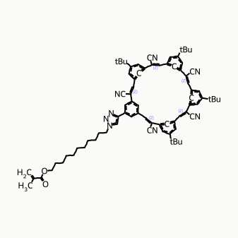 C=C(C)C(=O)OCCCCCCCCCCCn1cc(-c2cc3cc(c2)/C(C#N)=C/c2cc(cc(C(C)(C)C)c2)/C(C#N)=C/c2cc(cc(C(C)(C)C)c2)/C(C#N)=C/c2cc(cc(C(C)(C)C)c2)/C(C#N)=C/c2cc(cc(C(C)(C)C)c2)/C(C#N)=C/3)nn1